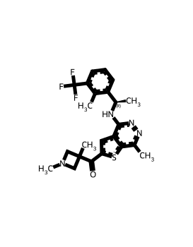 Cc1c([C@@H](C)Nc2nnc(C)c3sc(C(=O)C4(C)CN(C)C4)cc23)cccc1C(F)(F)F